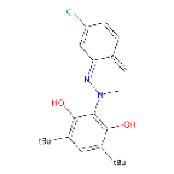 C=C1C=CC(Cl)=C/C1=N/N(C)c1c(O)c(C(C)(C)C)cc(C(C)(C)C)c1O